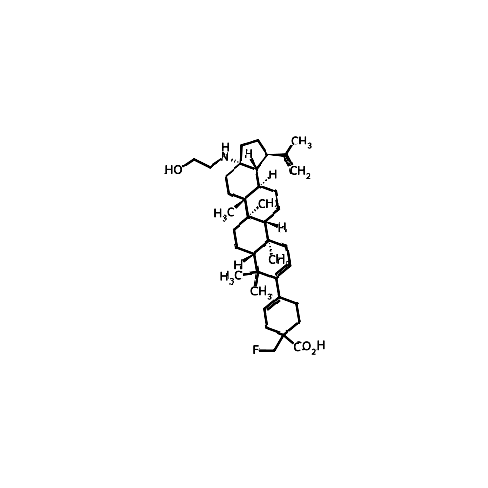 C=C(C)[C@@H]1CC[C@]2(NCCO)CC[C@]3(C)[C@H](CC[C@@H]4[C@@]5(C)CC=C(C6=CCC(CF)(C(=O)O)CC6)C(C)(C)[C@@H]5CC[C@]43C)[C@@H]12